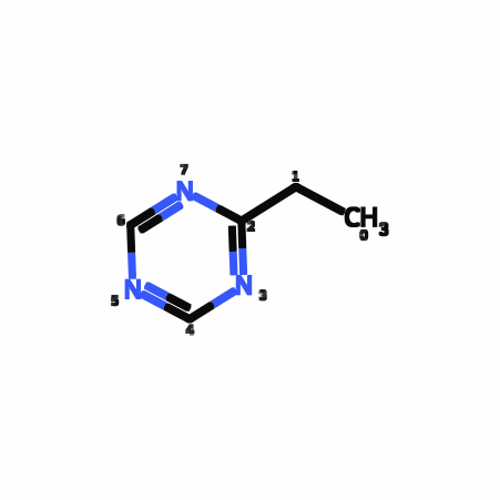 CCc1ncncn1